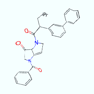 CC(C)CC(C(=O)N1CC=C2C1C(=O)CN2C(=O)c1ccccc1)c1cccc(-c2ccccc2)c1